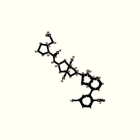 COc1ccc(F)cc1-c1ccnc2[nH]c([C@H]3C[C@@H]4CN(CC(=O)N5CCC[C@H]5CO)C[C@@H]4C3)cc12